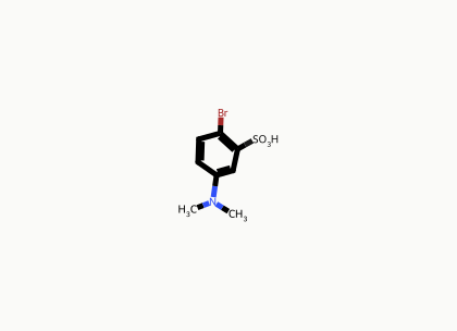 CN(C)c1ccc(Br)c(S(=O)(=O)O)c1